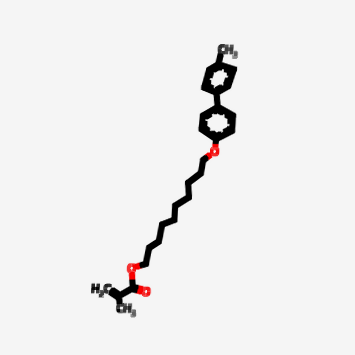 C=C(C)C(=O)OCCCCCCCCCCOc1ccc(-c2ccc(C)cc2)cc1